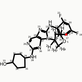 [2H]C1C([2H])([2H])OC([2H])([2H])C1([2H])n1c(Nc2c(F)cc(F)cc2F)nc2cnc(NC3CCC(O)CC3)nc21